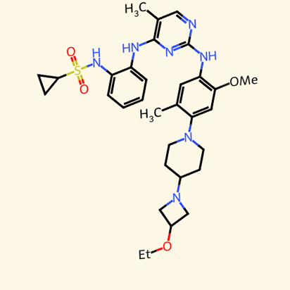 CCOC1CN(C2CCN(c3cc(OC)c(Nc4ncc(C)c(Nc5ccccc5NS(=O)(=O)C5CC5)n4)cc3C)CC2)C1